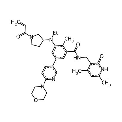 C=CC(=O)N1CCC(N(CC)c2cc(-c3ccc(N4CCOCC4)nc3)cc(C(=O)NCc3c(C)cc(C)[nH]c3=O)c2C)C1